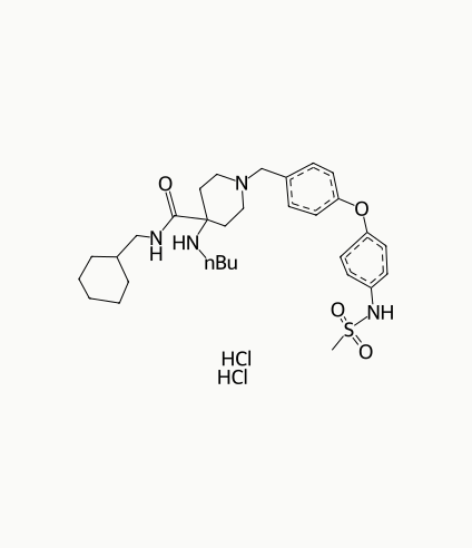 CCCCNC1(C(=O)NCC2CCCCC2)CCN(Cc2ccc(Oc3ccc(NS(C)(=O)=O)cc3)cc2)CC1.Cl.Cl